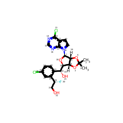 CC1(C)O[C@H]2[C@@H](O1)[C@H](n1ccc3c(Cl)ncnc31)O[C@@H]2[C@H](O)c1ccc(Cl)cc1[C@H](F)CO